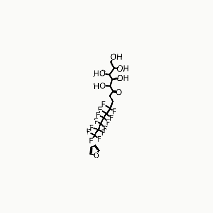 O=C(CCC(F)(F)C(F)(F)C(F)(F)C(F)(F)C(F)(F)C(F)(F)F)C(O)C(O)C(O)C(O)CO.c1ccoc1